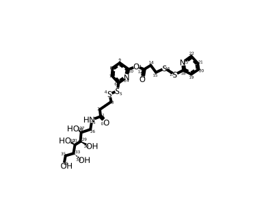 O=C(CCSSc1cccc(OC(=O)CCSSc2ccccn2)n1)NC[C@@H](O)[C@@H](O)[C@H](O)[C@H](O)CO